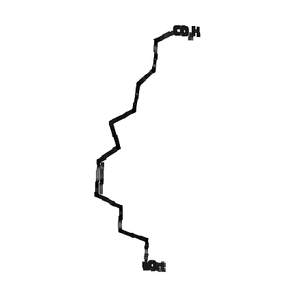 CCCCCCCCCCC/C=C\CCCCCCC(=O)O